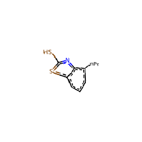 CCCc1cccc2sc(S)nc12